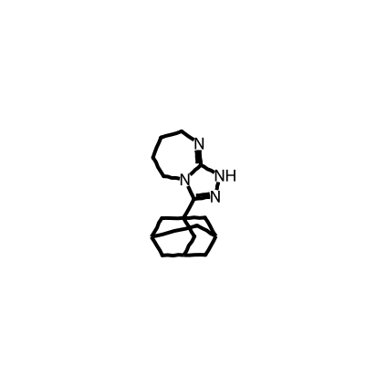 C1CCN2C(=NC1)NN=C2C12CC3CC(CC(C3)C1)C2